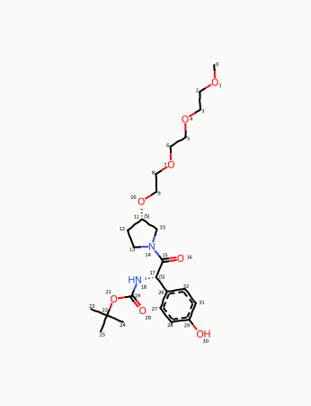 COCCOCCOCCO[C@H]1CCN(C(=O)[C@@H](NC(=O)OC(C)(C)C)c2ccc(O)cc2)C1